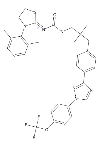 Cc1cccc(C)c1N1CCS/C1=N\C(=O)NCC(C)(C)Cc1ccc(-c2ncn(-c3ccc(OC(F)(F)F)cc3)n2)cc1